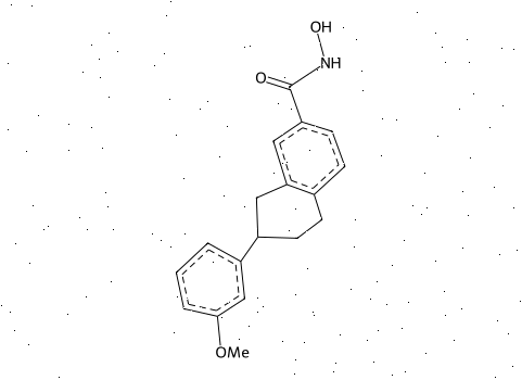 COc1cccc(C2CCc3ccc(C(=O)NO)cc3C2)c1